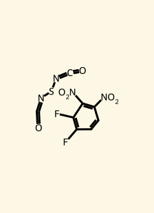 O=C=NSN=C=O.O=[N+]([O-])c1ccc(F)c(F)c1[N+](=O)[O-]